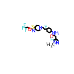 Cn1ncc(CC(=O)N[C@H]2CC[C@](F)(CCN3CCc4nc(OCC(F)(F)F)sc4CC3)CC2)c1F